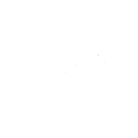 CCCCCCCCCCCC(=O)NCCC(=O)NCCCC[C@H](NC(C)(C)C)C(C)=O